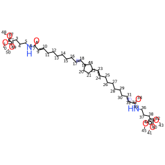 CO[Si](CCCNC(=O)C=CCCCCCC/C=C/C1CCC(C=CCCCCCC/C=C/C(=O)NCCC[Si](OC)(OC)OC)C1)(OC)OC